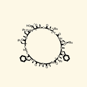 CC[C@H](C)[C@H]1CC(=O)N[C@@H](COC(C)(C)C)C(=O)N(C)[C@@H](Cc2ccccc2)C(=O)N(C)[C@@H](C(C)C)C(=O)N[C@@H](C)C(=O)N(C)[C@@H](C)C(=O)N(C)[C@@H](Cc2ccccc2)C(=O)CNC[C@@H](CC(C)C)C(=O)N(C)C(CC(C)C)C(=O)N[C@@H]([C@@H](C)O)C(=O)N(C)CC(=O)N1C